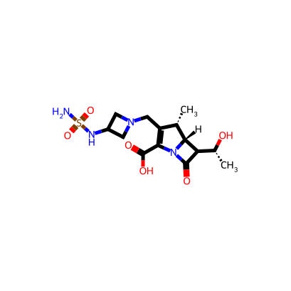 C[C@@H](O)C1C(=O)N2C(C(=O)O)=C(CN3CC(NS(N)(=O)=O)C3)[C@H](C)[C@H]12